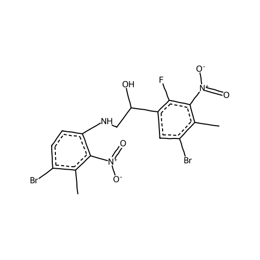 Cc1c(Br)ccc(NCC(O)c2cc(Br)c(C)c([N+](=O)[O-])c2F)c1[N+](=O)[O-]